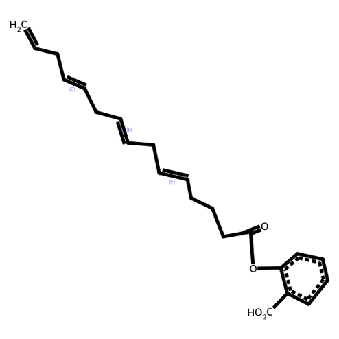 C=CC/C=C/C/C=C/C/C=C/CCCC(=O)Oc1ccccc1C(=O)O